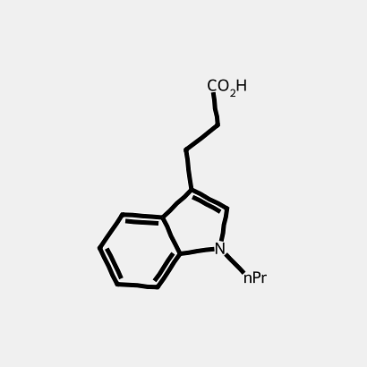 CCCn1cc(CCC(=O)O)c2ccccc21